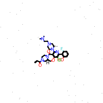 C=CC(=O)N1CCN2C(=O)c3c(N4CCN(CCN(C)C)C[C@@H]4C)nc(-c4c(O)cccc4F)c(Cl)c3OC[C@H]2C1